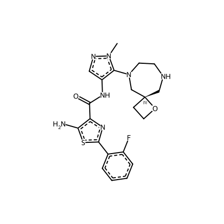 Cn1ncc(NC(=O)c2nc(-c3ccccc3F)sc2N)c1N1CCNC[C@@]2(CCO2)C1